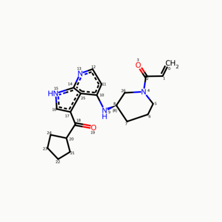 C=CC(=O)N1CCC[C@@H](Nc2ccnc3[nH]cc(C(=O)C4CCCC4)c23)C1